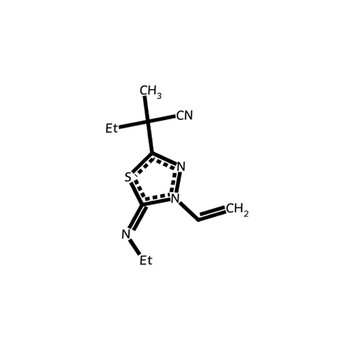 C=Cn1nc(C(C)(C#N)CC)s/c1=N/CC